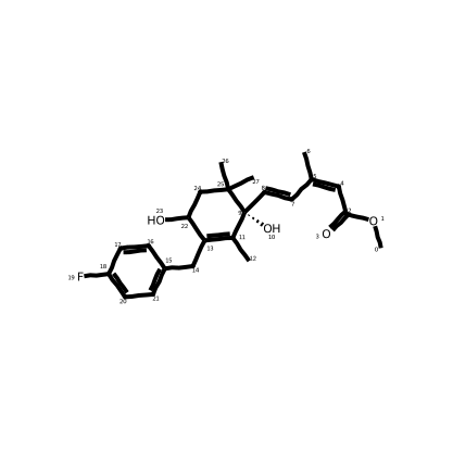 COC(=O)/C=C(C)\C=C\[C@@]1(O)C(C)=C(Cc2ccc(F)cc2)C(O)CC1(C)C